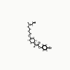 C=CCN(C)CCCCOC1CCC(N(C)C(=O)Oc2ccc(Br)cc2)CC1